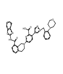 O=C(Nc1nc2ccccc2s1)c1cccc2c1CN(c1ccc(-c3cnn(Cc4ccccc4N4CCOCC4)c3)c(C(=O)O)n1)CC2